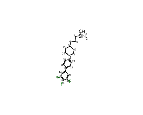 C[SiH2]CCC[C@H]1CC[C@H](c2ccc(-c3cc(F)c(F)c(F)c3)cc2)CC1